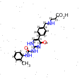 Cc1ccccc1NC(=O)Nc1nc(=O)c(-c2ccc(CNCCC(=O)O)cc2)c[nH]1